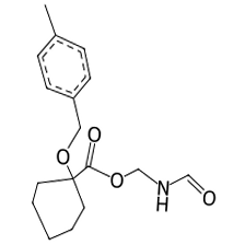 Cc1ccc(COC2(C(=O)OCNC=O)CCCCC2)cc1